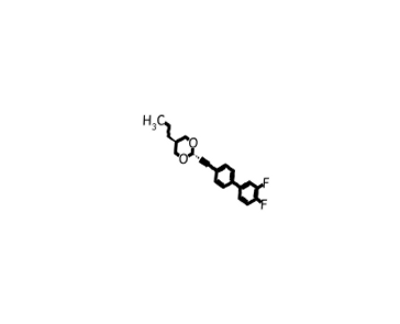 CCC[C@H]1CO[C@H](C#Cc2ccc(-c3ccc(F)c(F)c3)cc2)OC1